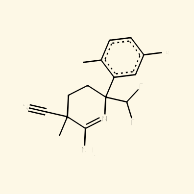 CC1(C#N)CCC(c2cc(Br)ccc2F)(C(F)F)N=C1N